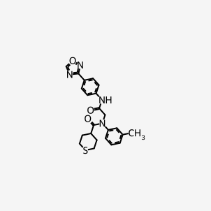 Cc1cccc(N(CC(=O)Nc2ccc(-c3ncon3)cc2)C(=O)C2CCSCC2)c1